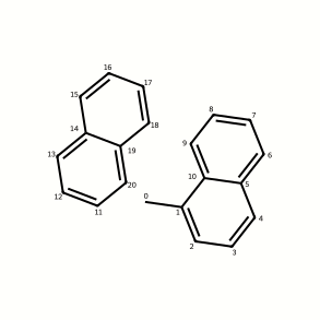 Cc1cccc2ccccc12.c1ccc2ccccc2c1